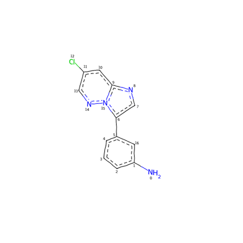 Nc1cccc(-c2cnc3cc(Cl)cnn23)c1